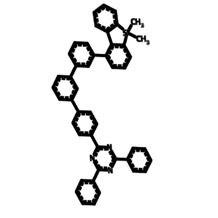 C[Si]1(C)c2ccccc2-c2c(-c3cccc(-c4cccc(-c5ccc(-c6nc(-c7ccccc7)nc(-c7ccccc7)n6)cc5)c4)c3)cccc21